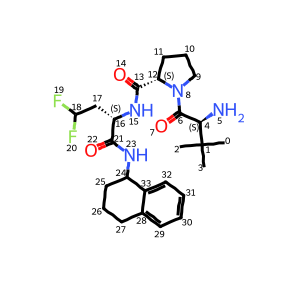 CC(C)(C)[C@H](N)C(=O)N1CCC[C@H]1C(=O)N[C@@H](CC(F)F)C(=O)NC1CCCc2ccccc21